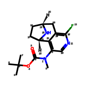 CN(C(=O)OC(C)(C)C)c1cnc(F)c2c1[C@H]1CC[C@@H](C2)N1